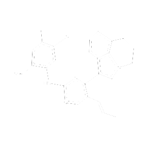 COc1cc(F)c([N+](=O)[O-])cc1Nc1ncc(C=CC(=O)O)c(-c2cn3c4c(cccc24)CCC3)n1